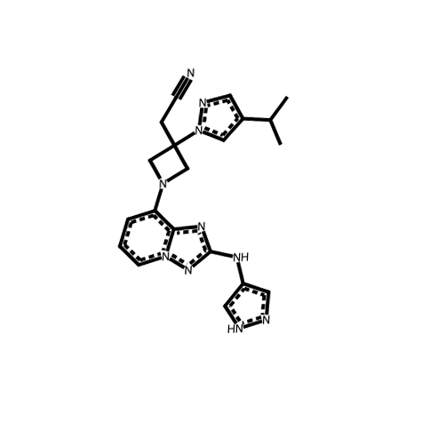 CC(C)c1cnn(C2(CC#N)CN(c3cccn4nc(Nc5cn[nH]c5)nc34)C2)c1